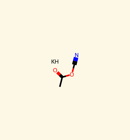 CC(=O)OC#N.[KH]